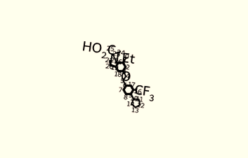 CCc1cc(OCc2ccc(C3CCCC3)c(C(F)(F)F)c2)cc2ccn(C(C)C(=O)O)c12